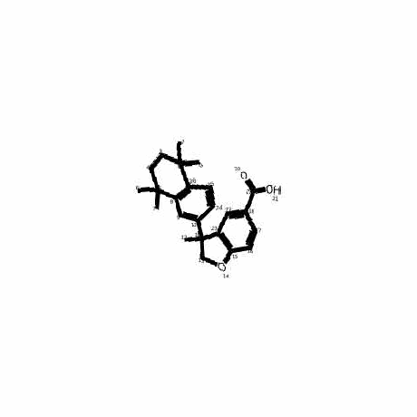 CC1(C)CCC(C)(C)c2cc(C3(C)COc4ccc(C(=O)O)cc43)ccc21